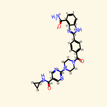 NC(=O)c1cccc2[nH]c(-c3ccc(C(=O)N4CCN(c5ncc(C(=O)NC6CC6)cn5)CC4)cc3)nc12